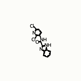 O=C(Nc1ccc(Cl)nc1Cl)c1nc2ccccc2[nH]1